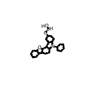 OBOc1ccc2c(c1)c1c3oc4ccccc4c3ccc1n2-c1ccccc1